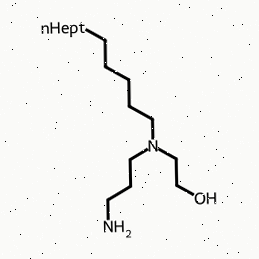 CCCCCCCCCCCCN(CCO)CCCN